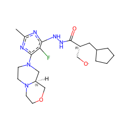 Cc1nc(NNC(=O)[C@@H](C[O])CC2CCCC2)c(F)c(N2CCN3CCOC[C@@H]3C2)n1